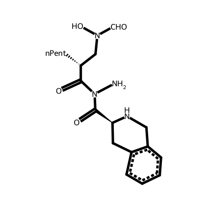 CCCCC[C@H](CN(O)C=O)C(=O)N(N)C(=O)[C@@H]1Cc2ccccc2CN1